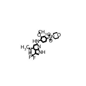 CNc1cc(Nc2ccc(S(=O)(=O)N3CCOCC3)cc2OC)nc2[nH]cc(C(F)(F)F)c12